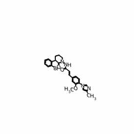 COc1cc(/C=C/C(=O)NN2CCCC(c3ccccc3Br)C2=O)ccc1-n1cnc(C)c1